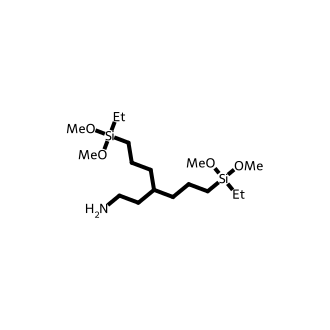 CC[Si](CCCC(CCN)CCC[Si](CC)(OC)OC)(OC)OC